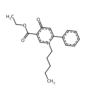 CCCCCn1cc(C(=O)OCC)c(=O)cc1-c1ccccc1